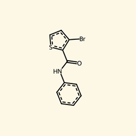 O=C(Nc1ccccc1)c1sccc1Br